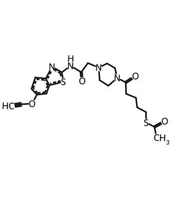 C#COc1ccc2nc(NC(=O)CN3CCN(C(=O)CCCCSC(C)=O)CC3)sc2c1